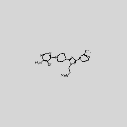 CCc1c(N)ncnc1N1CCC(c2nc(-c3ccnc(C(F)(F)F)c3)cn2CCNC)CC1